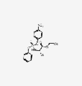 CC[C@H](NP(=O)(Oc1ccccc1)Oc1ccc([N+](=O)[O-])cc1)C(=O)OCC(C)(C)C